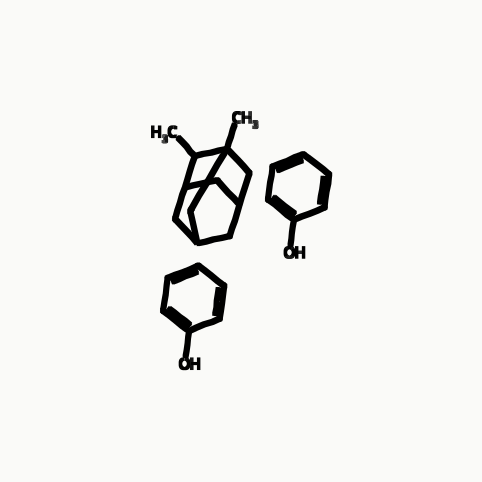 CC1C2CC3CC(C2)CC1(C)C3.Oc1ccccc1.Oc1ccccc1